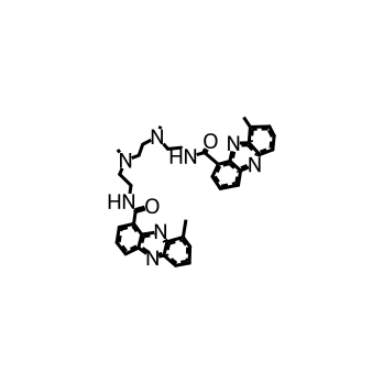 Cc1cccc2nc3cccc(C(=O)NCCN(C)CCN(C)CCNC(=O)c4cccc5nc6cccc(C)c6nc45)c3nc12